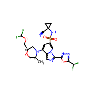 C[C@H]1CO[C@@H](COC(F)F)CN1c1cc(S(=O)(=O)NC2(C#N)CC2)cn2c(-c3nnc(C(F)F)o3)ncc12